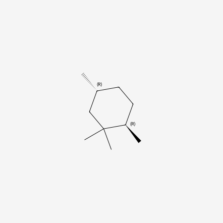 C[C@@H]1CC[C@@H](C)C(C)(C)C1